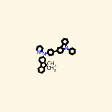 CC1(C)C2CC(N(c3ccc(-c4ccc5c(c4)c4ccccc4n5-c4ccccc4)cc3)c3ccccn3)=CC=C2C2C=CC=CC21